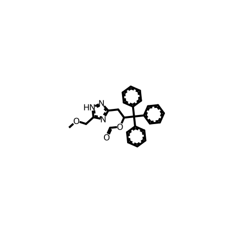 COCc1nc(CC(OC=O)C(c2ccccc2)(c2ccccc2)c2ccccc2)n[nH]1